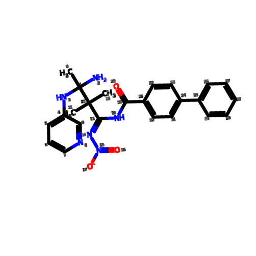 CC(N)(Nc1cccnc1)C(C)(C)C(=N[N+](=O)[O-])NC(=O)c1ccc(-c2ccccc2)cc1